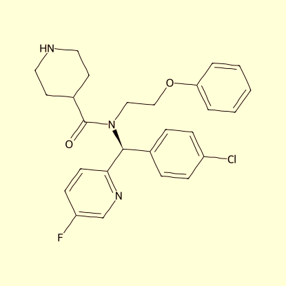 O=C(C1CCNCC1)N(CCOc1ccccc1)[C@@H](c1ccc(Cl)cc1)c1ccc(F)cn1